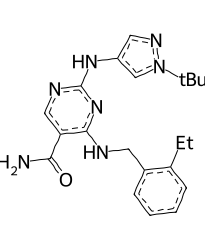 CCc1ccccc1CNc1nc(Nc2cnn(C(C)(C)C)c2)ncc1C(N)=O